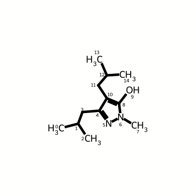 CC(C)Cc1nn(C)c(O)c1CC(C)C